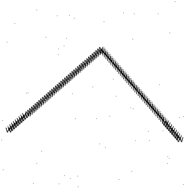 [Ni].[Ni].[Ni].[Ni].[Ni].[Ni].[Ni].[Ni].[Ni].[Ni].[Ni].[Ni].[Ni].[Ni].[Ni].[Ni].[Ni].[Ni].[Ni].[Ni].[Ni].[Ni].[Ni].[Ni].[Ni].[Ni].[Ni].[Ni].[Ni].[Ni].[Ni].[Ni].[Ni].[Ni].[Ni].[Ni].[Ni].[Ni].[Ni].[Ni].[Ni].[Ni].[Ni].[Ni].[Ni].[Ni].[Ni].[Ni].[Ni].[Ni].[Ni].[Ni].[Ni].[Ni].[Ni].[Ni].[Ni].[Ni].[Ni].[Ni].[Ni].[Ni].[Ni].[Ni].[Ni].[Ni].[Ni].[Ni].[Ni].[Ni].[Ni].[Ni].[Ni].[Ni].[Ni].[Ni].[Ni].[Ni].[Ni].[Ni].[W].[W].[W].[W].[W].[W].[W].[W].[W].[W].[W].[W].[W].[W].[W].[W].[W].[W].[W].[W]